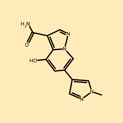 Cn1cc(-c2cc(O)c3c(C(N)=O)cnn3c2)cn1